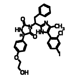 Cc1nc(C(Cc2ccccc2)N2C(=O)N[C@H](c3ccc(OCCO)cc3)C2=O)[nH]c1-c1ccc(I)cc1Cl